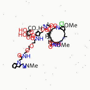 CNN(C)Cc1cc2ccccc2n1CCC(=O)NCCOCCOCCC(=O)Nc1cc(COC(=O)N(C)[C@@H](C)C(=O)O[C@H]2CC(=O)N(C)c3cc(cc(OC)c3Cl)C/C(C)=C/C=C/[C@@H](OC)[C@@]3(O)C[C@H](OC(=O)N3)[C@@H](C)[C@@H]3C[C@]23C)ccc1OC1O[C@H](C(=O)O)[C@@H](O)[C@H](O)[C@H]1O